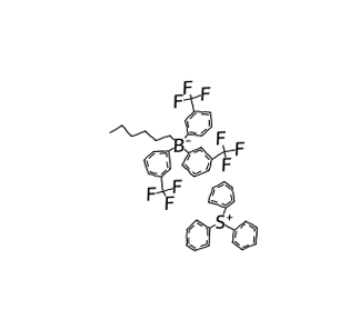 CCCCCC[B-](c1cccc(C(F)(F)F)c1)(c1cccc(C(F)(F)F)c1)c1cccc(C(F)(F)F)c1.c1ccc([S+](c2ccccc2)c2ccccc2)cc1